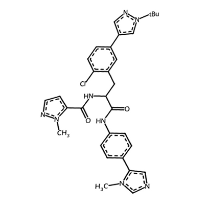 Cn1cncc1-c1ccc(NC(=O)C(Cc2cc(-c3cnn(C(C)(C)C)c3)ccc2Cl)NC(=O)c2ccnn2C)cc1